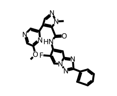 COc1cncc(-c2cnn(C)c2C(=O)Nc2cc3nc(-c4ccccc4)nn3cc2F)n1